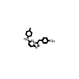 CC1CCC(Nc2ccc3nnc(Cc4ccc(O)cc4)n3n2)CC1